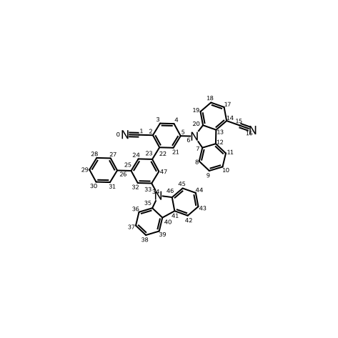 N#Cc1ccc(-n2c3ccccc3c3c(C#N)cccc32)cc1-c1cc(-c2ccccc2)cc(-n2c3ccccc3c3ccccc32)c1